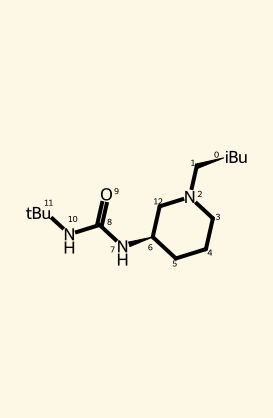 CC[C@H](C)CN1CCC[C@@H](NC(=O)NC(C)(C)C)C1